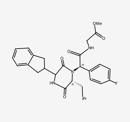 COC(=O)CNC(=O)[C@@H](c1ccc(F)cc1)N1C(=O)C(C2Cc3ccccc3C2)NC(=O)[C@H]1CC(C)C